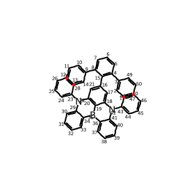 c1ccc(-c2cccc(-c3ccccc3)c2-c2cc3c4c(c2)N(c2ccccc2)c2ccccc2B4c2ccccc2N3c2ccccc2)cc1